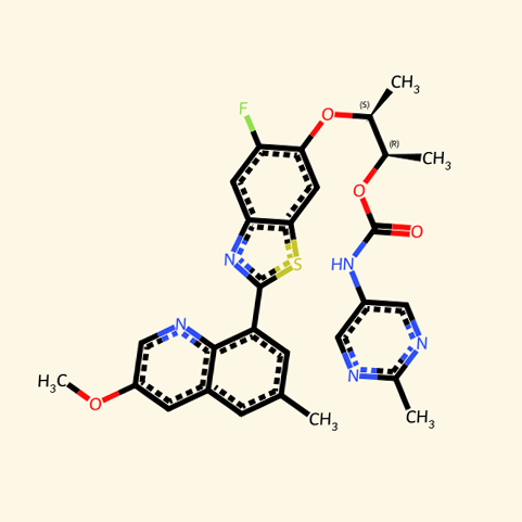 COc1cnc2c(-c3nc4cc(F)c(O[C@@H](C)[C@@H](C)OC(=O)Nc5cnc(C)nc5)cc4s3)cc(C)cc2c1